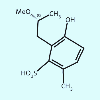 CO[C@H](C)Cc1c(O)ccc(C)c1S(=O)(=O)O